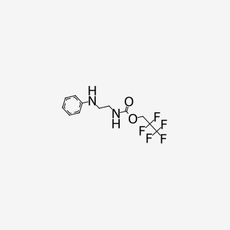 O=C(NCCNc1ccccc1)OCC(F)(F)C(F)(F)F